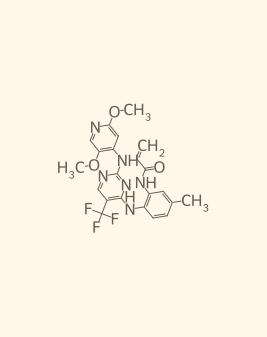 C=CC(=O)Nc1cc(C)ccc1Nc1nc(Nc2cc(OC)ncc2OC)ncc1C(F)(F)F